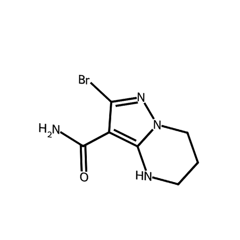 NC(=O)c1c(Br)nn2c1NCCC2